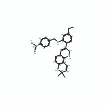 CCc1ccc(C2=Cc3ccc4c(c3OC2)C=CC(C)(C)O4)c(OCc2ccc([N+](=O)[O-])cc2)c1